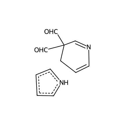 O=CC1(C=O)C=NC=CC1.c1cc[nH]c1